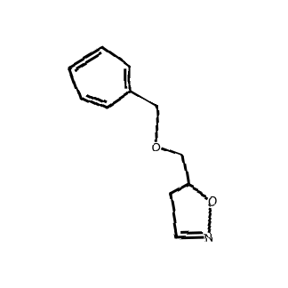 C1=NOC(COCc2ccccc2)C1